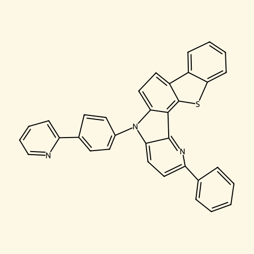 c1ccc(-c2ccc3c(n2)c2c4sc5ccccc5c4ccc2n3-c2ccc(-c3ccccn3)cc2)cc1